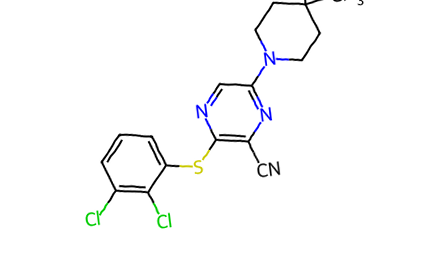 CCCCC1(C)CCN(c2cnc(Sc3cccc(Cl)c3Cl)c(C#N)n2)CC1